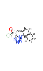 CC(C(=O)Cl)c1nnnn1-c1cccc2ccccc12